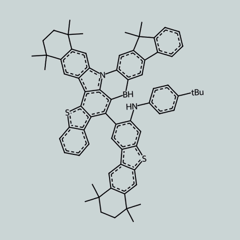 CC(C)(C)c1ccc(Nc2cc3sc4cc5c(cc4c3cc2-c2c3c4c(c6cc7c(cc6n4-c4cc6c(cc4B3)-c3ccccc3C6(C)C)C(C)(C)CCC7(C)C)c3sc4ccccc4c23)C(C)(C)CCC5(C)C)cc1